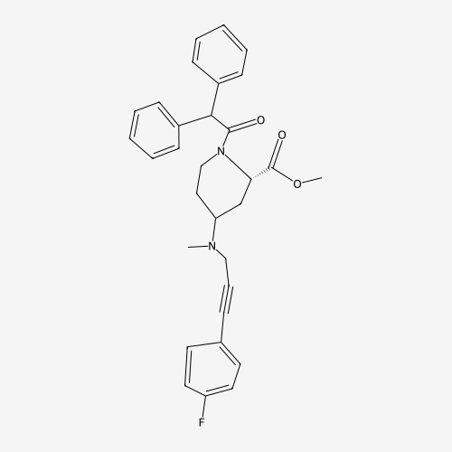 COC(=O)[C@@H]1CC(N(C)CC#Cc2ccc(F)cc2)CCN1C(=O)C(c1ccccc1)c1ccccc1